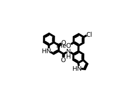 COc1ccc(Cl)cc1-c1cc2cc[nH]c2cc1NC(=O)c1c[nH]c2ccccc2c1=O